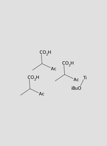 CC(=O)C(C)C(=O)O.CC(=O)C(C)C(=O)O.CC(=O)C(C)C(=O)O.CC(C)C[O][Ti]